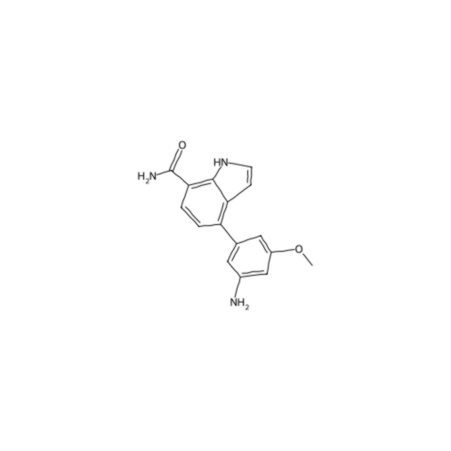 COc1cc(N)cc(-c2ccc(C(N)=O)c3[nH]ccc23)c1